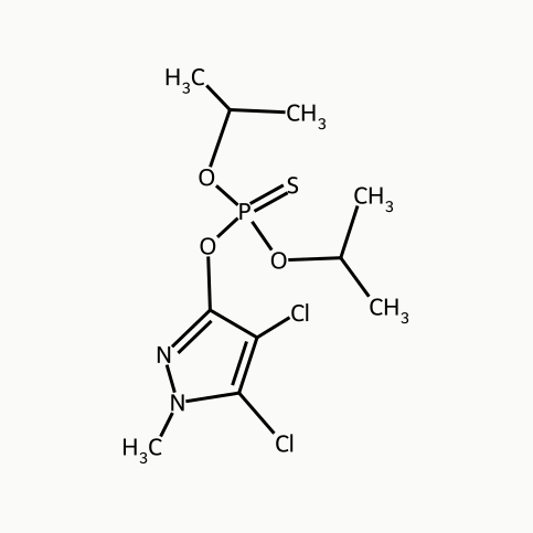 CC(C)OP(=S)(Oc1nn(C)c(Cl)c1Cl)OC(C)C